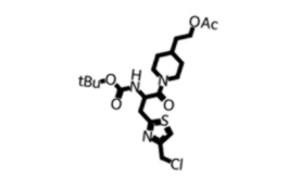 CC(=O)OCCC1CCN(C(=O)C(Cc2nc(CCl)cs2)NC(=O)OC(C)(C)C)CC1